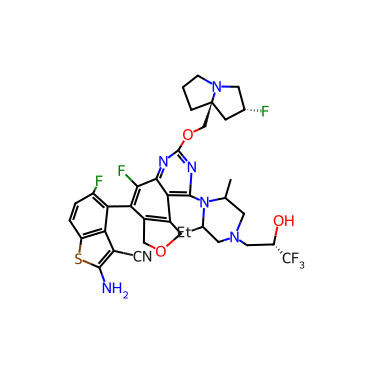 CCC1CN(C[C@H](O)C(F)(F)F)CC(C)N1c1nc(OC[C@@]23CCCN2C[C@H](F)C3)nc2c(F)c(-c3c(F)ccc4sc(N)c(C#N)c34)c3c(c12)COC3